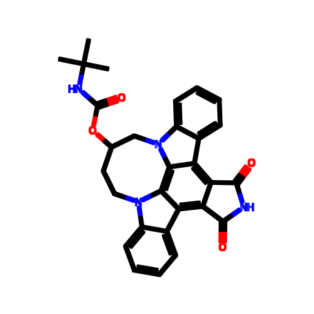 CC(C)(C)NC(=O)OC1CCn2c3ccccc3c3c4c(c5c6ccccc6n(c5c32)C1)C(=O)NC4=O